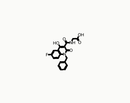 O=C(O)CNC(=O)c1c(O)c2cc(F)ccc2n(Cc2ccccc2)c1=O